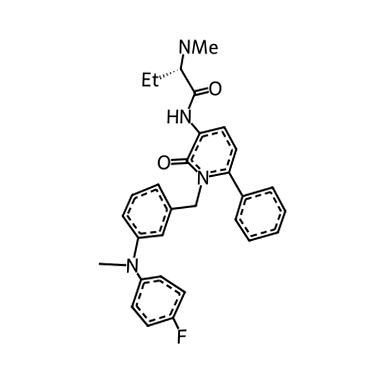 CC[C@H](NC)C(=O)Nc1ccc(-c2ccccc2)n(Cc2cccc(N(C)c3ccc(F)cc3)c2)c1=O